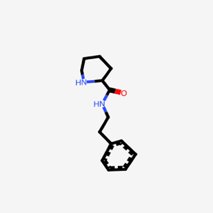 O=C(NCCc1ccccc1)C1CCCCN1